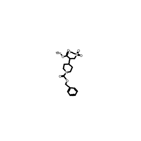 CC(C)(C)OC(=O)C(CS(=O)(=O)Cl)C1CCN(C(=O)OCc2ccccc2)CC1